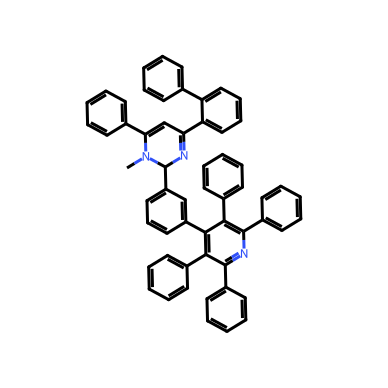 CN1C(c2ccccc2)=CC(c2ccccc2-c2ccccc2)=NC1c1cccc(-c2c(-c3ccccc3)c(-c3ccccc3)nc(-c3ccccc3)c2-c2ccccc2)c1